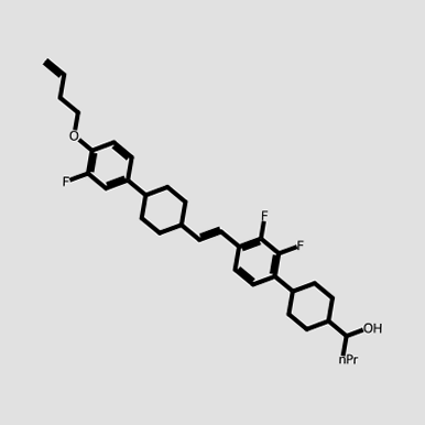 C=CCCOc1ccc(C2CCC(/C=C/c3ccc(C4CCC(C(O)CCC)CC4)c(F)c3F)CC2)cc1F